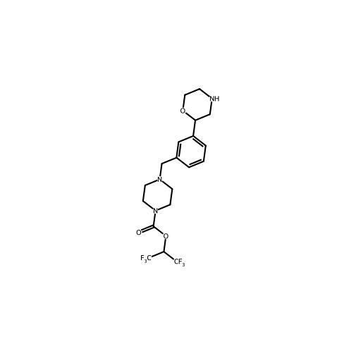 O=C(OC(C(F)(F)F)C(F)(F)F)N1CCN(Cc2cccc(C3CNCCO3)c2)CC1